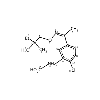 CC[Si](C)(C)CO/N=C(/C)c1ccc(Cl)c(CNC(=O)O)c1